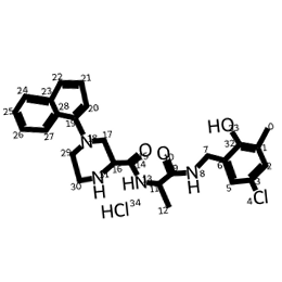 Cc1cc(Cl)cc(CNC(=O)C(C)NC(=O)C2CN(c3cccc4ccccc34)CCN2)c1O.Cl